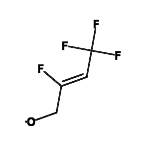 [O]CC(F)=CC(F)(F)F